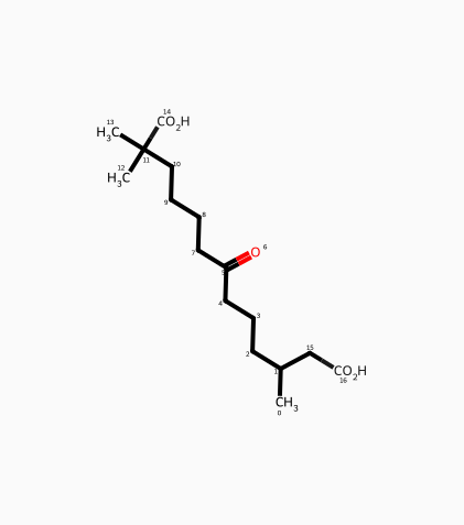 CC(CCCC(=O)CCCCC(C)(C)C(=O)O)CC(=O)O